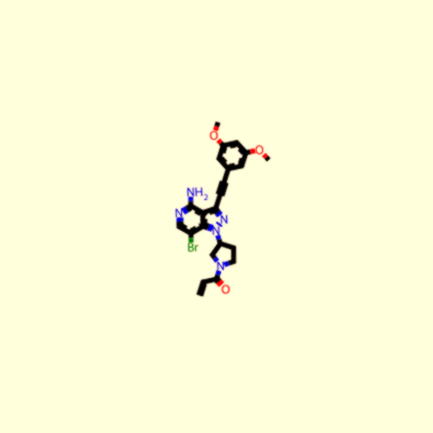 C=CC(=O)N1CCC(n2nc(C#Cc3cc(OC)cc(OC)c3)c3c(N)ncc(Br)c32)C1